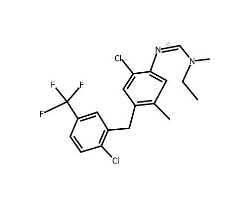 CCN(C)/C=N\c1cc(C)c(Cc2cc(C(F)(F)F)ccc2Cl)cc1Cl